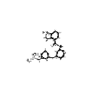 CN(C)Cc1cccc(Cc2ccnc(NC(=O)c3cccc4c3CCN4)c2)c1